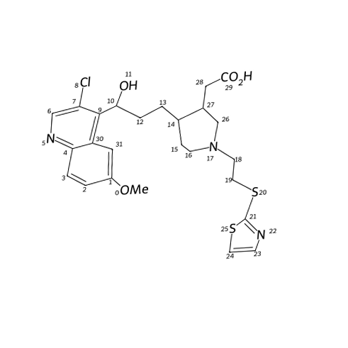 COc1ccc2ncc(Cl)c(C(O)CCC3CCN(CCSc4nccs4)CC3CC(=O)O)c2c1